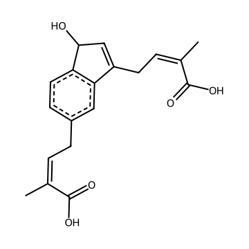 C/C(=C/CC1=CC(O)c2ccc(C/C=C(/C)C(=O)O)cc21)C(=O)O